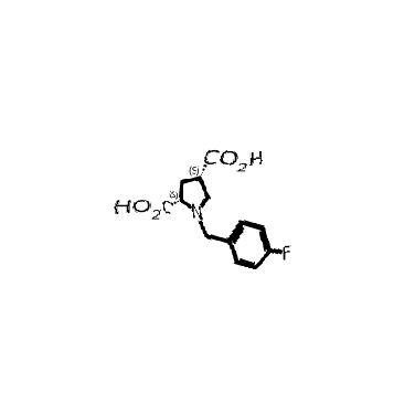 O=C(O)[C@H]1C[C@@H](C(=O)O)N(Cc2ccc(F)cc2)C1